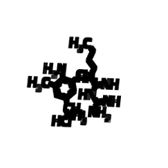 CCCCNC(=N)NC(=N)N.Cc1cc(C)c(N)c(C)c1.Cl.N